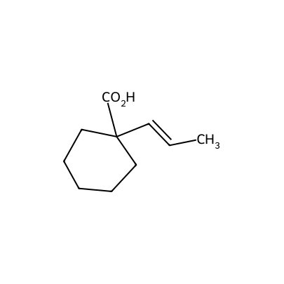 CC=CC1(C(=O)O)CCCCC1